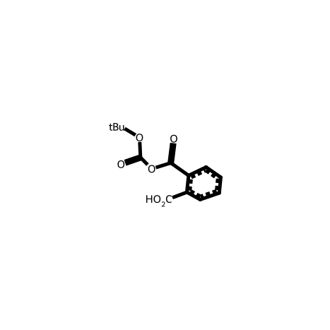 CC(C)(C)OC(=O)OC(=O)c1ccccc1C(=O)O